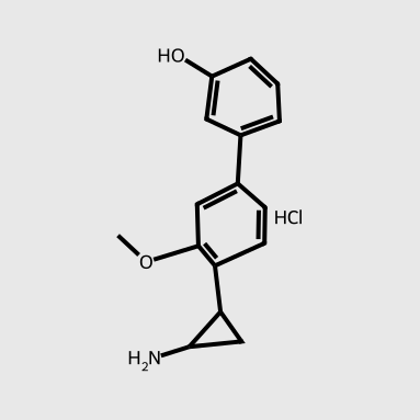 COc1cc(-c2cccc(O)c2)ccc1C1CC1N.Cl